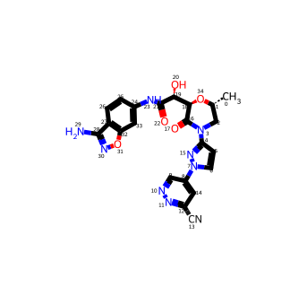 C[C@@H]1CN(c2ccn(-c3cnnc(C#N)c3)n2)C(=O)[C@@H]([C@@H](O)C(=O)Nc2ccc3c(N)noc3c2)O1